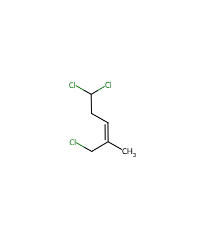 CC(=CCC(Cl)Cl)CCl